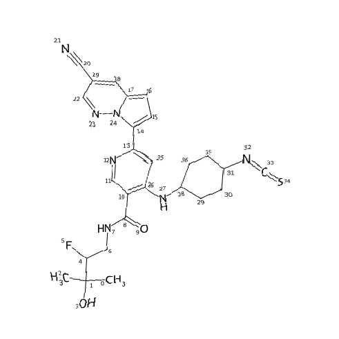 CC(C)(O)C(F)CNC(=O)c1cnc(-c2ccc3cc(C#N)cnn23)cc1NC1CCC(N=C=S)CC1